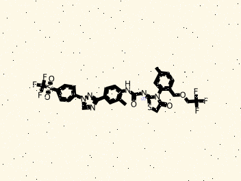 Cc1ccc(COCC(F)(F)F)c(N2C(=O)CS/C2=N\C(=O)Nc2ccc(-c3ncn(-c4ccc(S(=O)(=O)C(F)(F)F)cc4)n3)cc2C)c1